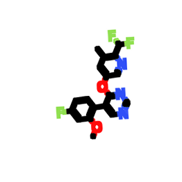 COc1cc(F)ccc1-c1cncnc1Oc1cnc(C(F)F)c(C)c1